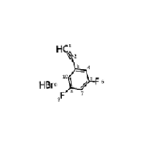 Br.C#Cc1cc(F)cc(F)c1